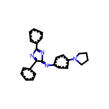 c1ccc(C2=N/C(=N\c3ccc(N4CCCC4)cc3)C(c3ccccc3)=N2)cc1